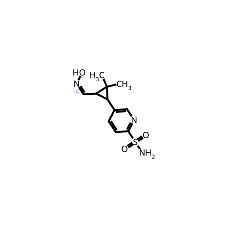 CC1(C)C(/C=N\O)C1c1ccc(S(N)(=O)=O)nc1